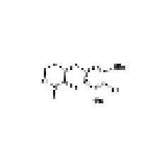 CN1OCC/C(=C/c2cc(C(C)(C)C)c(O)c(C(C)(C)C)c2)C1=O